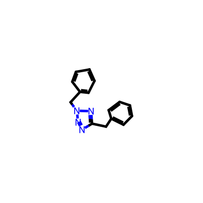 c1ccc(Cc2nnn(Cc3ccccc3)n2)cc1